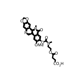 COc1cc2c(cc1OC(=O)N(C)CCOC(=O)CCC(=O)O)c(=O)n(C)c1c3cc4c(cc3ncc21)OCO4